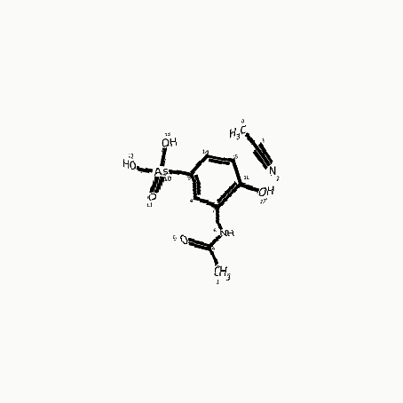 CC#N.CC(=O)Nc1cc([As](=O)(O)O)ccc1O